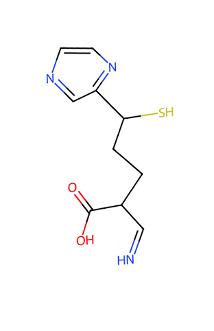 N=CC(CCC(S)c1cnccn1)C(=O)O